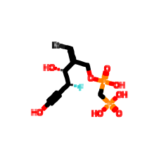 CC/C=C(/COP(=O)(O)CP(=O)(O)O)[C@@H](O)[C@H](F)C#CO